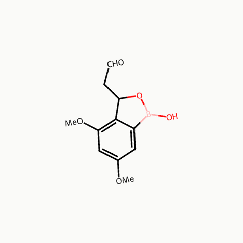 COc1cc(OC)c2c(c1)B(O)OC2CC=O